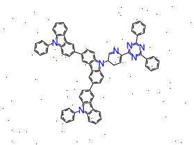 C1=NC(c2nc(-c3ccccc3)nc(-c3ccccc3)n2)=CCC1n1c2ccc(-c3ccc4c(c3)c3ccccc3n4-c3ccccc3)cc2c2cc(-c3ccc4c(c3)c3ccccc3n4-c3ccccc3)ccc21